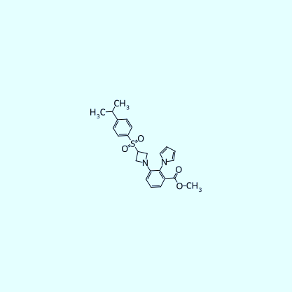 COC(=O)c1cccc(N2CC(S(=O)(=O)c3ccc(C(C)C)cc3)C2)c1-n1cccc1